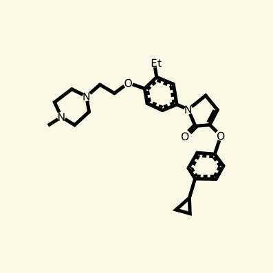 CCc1cc(N2CC=C(Oc3ccc(C4CC4)cc3)C2=O)ccc1OCCN1CCN(C)CC1